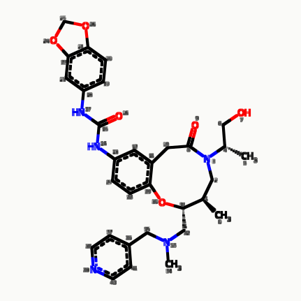 C[C@@H]1CN([C@@H](C)CO)C(=O)Cc2cc(NC(=O)Nc3ccc4c(c3)OCO4)ccc2O[C@H]1CN(C)Cc1ccncc1